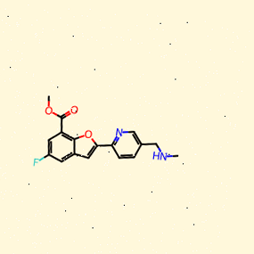 CNCc1ccc(-c2cc3cc(F)cc(C(=O)OC)c3o2)nc1